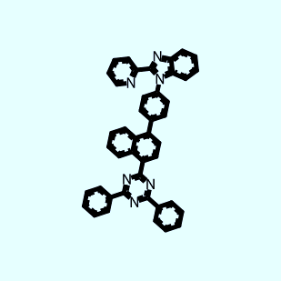 c1ccc(-c2nc(-c3ccccc3)nc(-c3ccc(-c4ccc(-n5c(-c6ccccn6)nc6ccccc65)cc4)c4ccccc34)n2)cc1